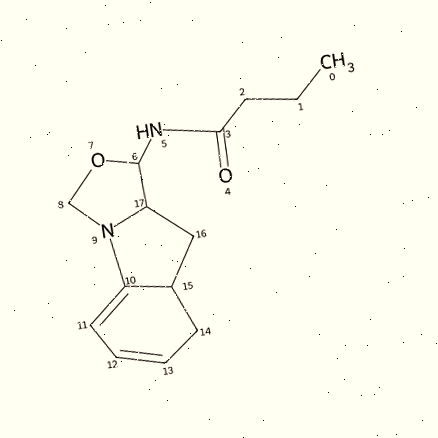 CCCC(=O)NC1OCN2C3=CC=CCC3CC12